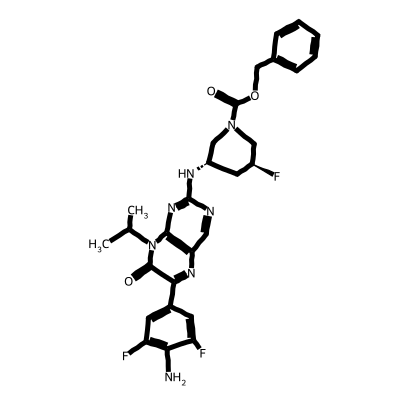 CC(C)n1c(=O)c(-c2cc(F)c(N)c(F)c2)nc2cnc(N[C@H]3C[C@H](F)CN(C(=O)OCc4ccccc4)C3)nc21